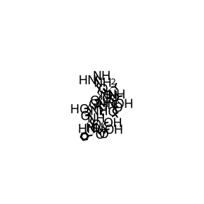 CC[C@H](C)[C@H](NC(=O)[C@@H](CCCNC(=N)N)NC(=O)[C@H](CC(C)C)NC(=O)[C@@H](NC(=O)OC(C)(C)C)[C@H](O)C(C)C)C(=O)N[C@H](C(=O)NCC(=O)N[C@@H](Cc1ccccc1)C(=O)N[C@@H](CO)C(=O)O)[C@H](C)O